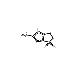 CCOC(=O)c1cc2c([nH]1)CCS2(=O)=O